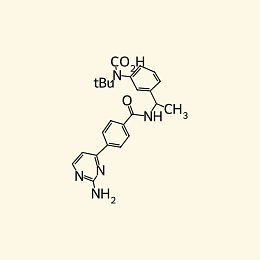 CC(NC(=O)c1ccc(-c2ccnc(N)n2)cc1)c1cccc(N(C(=O)O)C(C)(C)C)c1